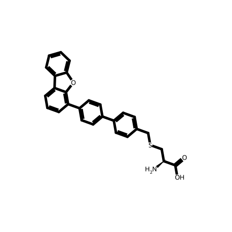 N[C@@H](CSCc1ccc(-c2ccc(-c3cccc4c3oc3ccccc34)cc2)cc1)C(=O)O